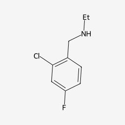 CCNCc1ccc(F)cc1Cl